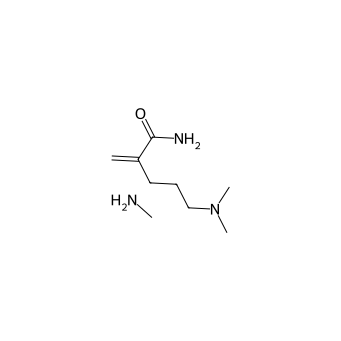 C=C(CCCN(C)C)C(N)=O.CN